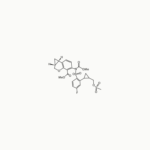 COC(=O)c1c(N(C(=O)OC)S(=O)(=O)c2ccc(F)cc2C2CC2COS(C)(=O)=O)ccc2c1OC[C@@H]1C[C@H]21